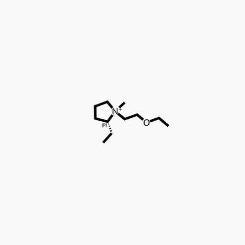 CCOCC[N+]1(C)CCC[C@H]1CC